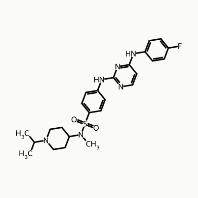 CC(C)N1CCC(N(C)S(=O)(=O)c2ccc(Nc3nccc(Nc4ccc(F)cc4)n3)cc2)CC1